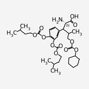 CC(C)CCOC(=O)Oc1ccc(C(C(C)COC(=O)OC2CCCCC2)[C@H](N)C(=O)O)cc1OC(=O)OCCC(C)C